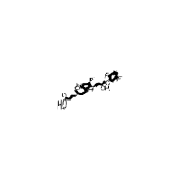 O=C(O)CCC[C@H]1CC[C@@H]2[C@@H](C=C[C@@H](O)COc3cc(F)ccc3F)[C@@H](F)C[C@@H]2OC1